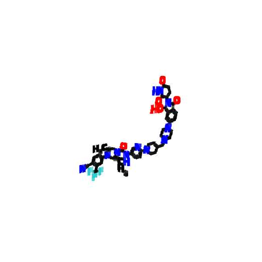 C[C@@H]1CN(c2ccc(C#N)c(C(F)(F)F)c2)[C@@H](C)CN1C(=O)Nc1ccc(N2CCC(CN3CCN(c4ccc5c(c4)C(O)N(C4CCC(=O)NC4=O)C5=O)CC3)CC2)nc1